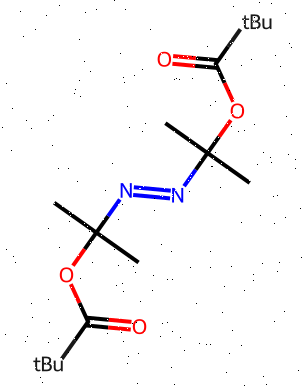 CC(C)(N=NC(C)(C)OC(=O)C(C)(C)C)OC(=O)C(C)(C)C